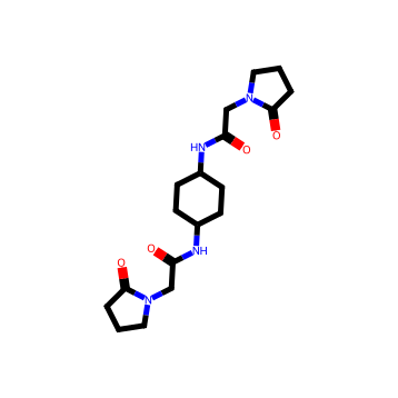 O=C(CN1CCCC1=O)NC1CCC(NC(=O)CN2CCCC2=O)CC1